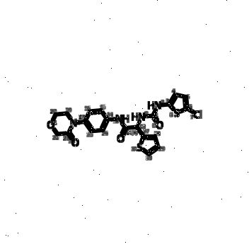 O=C(Nc1ccc(Cl)s1)N[C@H](C(=O)Nc1ccc(N2CCOCC2=O)cc1)c1cccs1